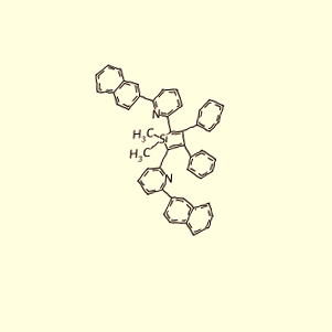 C[Si]1(C)C(c2cccc(-c3ccc4ccccc4c3)n2)=C(c2ccccc2)C(c2ccccc2)=C1c1cccc(-c2ccc3ccccc3c2)n1